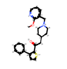 COc1ncccc1CN1CCC(CC(=O)c2sccc2-c2ccccc2)CC1